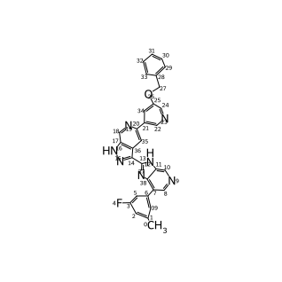 Cc1cc(F)cc(-c2cncc3[nH]c(-c4n[nH]c5cnc(-c6cncc(OCc7ccccc7)c6)cc45)nc23)c1